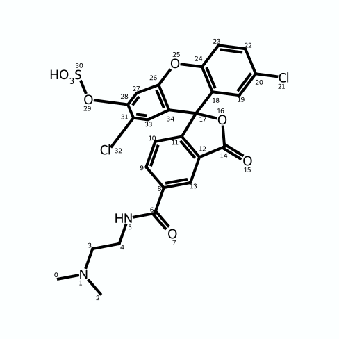 CN(C)CCNC(=O)c1ccc2c(c1)C(=O)OC21c2cc(Cl)ccc2Oc2cc(OS(=O)(=O)O)c(Cl)cc21